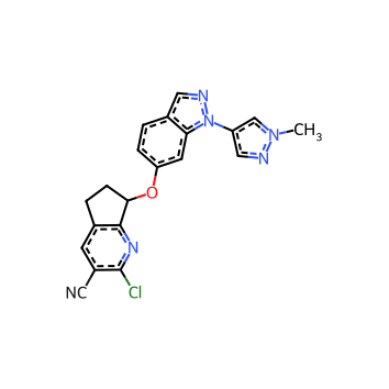 Cn1cc(-n2ncc3ccc(OC4CCc5cc(C#N)c(Cl)nc54)cc32)cn1